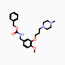 COc1ccc(CNC(=O)OCc2ccccc2)cc1OCCCN1CCN(C)CC1